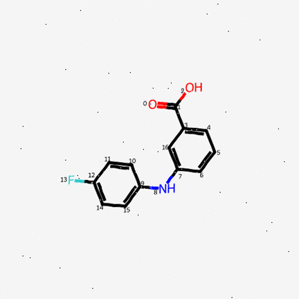 O=C(O)c1cccc(Nc2ccc(F)cc2)c1